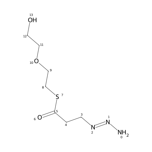 NN=NCCC(=O)SCCOCCO